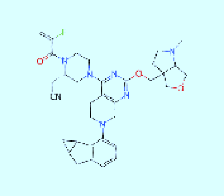 C=C(F)C(=O)N1CCN(c2nc(OCC34CCN(C)C3COC4)nc3c2CCN(c2cccc4c2C2CC2C4)C3)C[C@@H]1CC#N